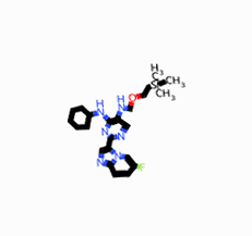 C[Si](C)(C)CCOCNc1cnc(-c2cnc3ccc(F)cn23)nc1NC1CCCCC1